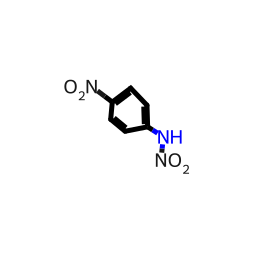 O=[N+]([O-])Nc1ccc([N+](=O)[O-])cc1